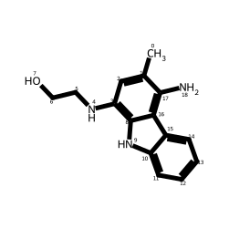 Cc1cc(NCCO)c2[nH]c3ccccc3c2c1N